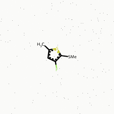 CSc1sc(C)cc1F